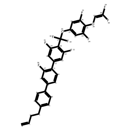 C=CCCc1ccc(-c2ccc(-c3cc(F)c(C(F)(F)Oc4cc(F)c(OC=C(F)F)c(F)c4)c(F)c3)c(F)c2)cc1